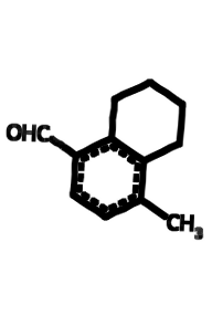 Cc1ccc(C=O)c2c1CCCC2